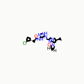 O=C(Nc1cc(NCc2cn3cc(C4CC4)cc(N4C[C@H]5C[C@H]5C4=O)c3n2)ncn1)[C@H]1C[C@@H]1c1cccc(Cl)c1